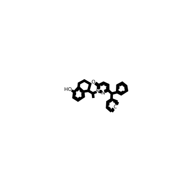 CC(C1CCCc2c(O)cccc21)n1nc(C(c2ccccc2)c2ccccc2)ccc1=O